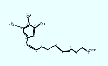 CCCCCCCCCCCCCCCCC/C=N\c1cc(O)c(O)c(O)c1